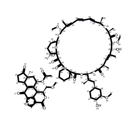 COC[C@H]1OC(=O)c2coc3c2[C@@]1(C)C1=C(C3=O)C2CCC(=O)[C@@]2(C)C[C@H]1OC(C)=O.CO[C@H]1C[C@@H]2CC[C@@H](C)[C@@](O)(O2)C(=O)C(=O)N2CCCC[C@H]2C(=O)O[C@H]([C@H](C)C[C@@H]2CC[C@@H](O)[C@H](OC)C2)CC(=O)[C@H](C)/C=C(\C)[C@@H](O)[C@@H](OC)C(=O)[C@H](C)C[C@H](C)/C=C/C=C/C=C/1C